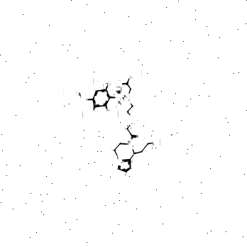 CCCC1c2cccn2CCN1C(=O)COCCN(CC(C)C)S(=O)(=O)c1c(C)cc(OC)c(C)c1C